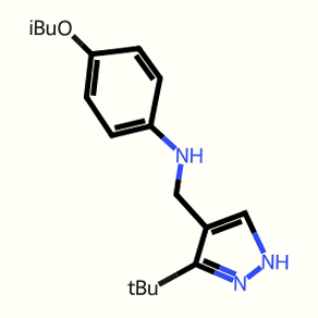 CC(C)COc1ccc(NCc2c[nH]nc2C(C)(C)C)cc1